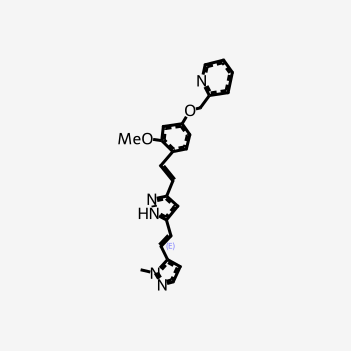 COc1cc(OCc2ccccn2)ccc1C=Cc1cc(/C=C/c2ccnn2C)[nH]n1